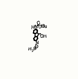 BOC=Nc1ccc2c(c1)C(CO)c1cc(NC(=O)OC(C)(C)C)ccc1-2